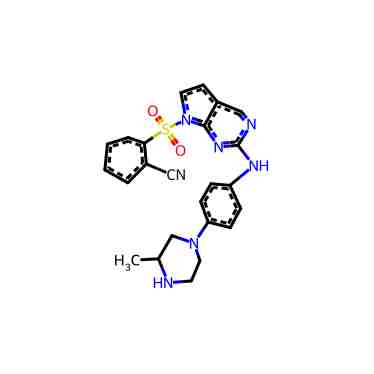 CC1CN(c2ccc(Nc3ncc4ccn(S(=O)(=O)c5ccccc5C#N)c4n3)cc2)CCN1